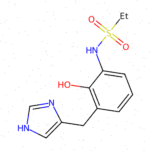 CCS(=O)(=O)Nc1cccc(Cc2c[nH]cn2)c1O